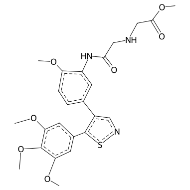 COC(=O)CNCC(=O)Nc1cc(-c2cnsc2-c2cc(OC)c(OC)c(OC)c2)ccc1OC